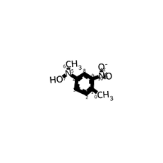 Cc1ccc(N(C)O)cc1[N+](=O)[O-]